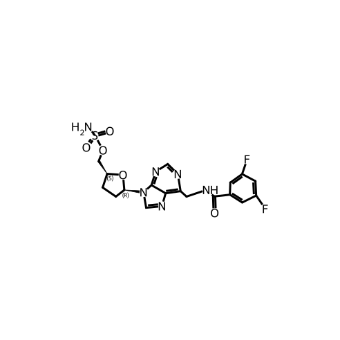 NS(=O)(=O)OC[C@@H]1CC[C@H](n2cnc3c(CNC(=O)c4cc(F)cc(F)c4)ncnc32)O1